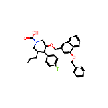 CCCC1CN(C(=O)O)CC(OCc2cc(OCc3ccccc3)c3ccccc3c2)C1c1ccc(F)cc1